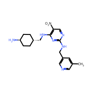 Cc1cncc(CNc2ncc([N+](=O)[O-])c(NC[C@H]3CC[C@H](N)CC3)n2)c1